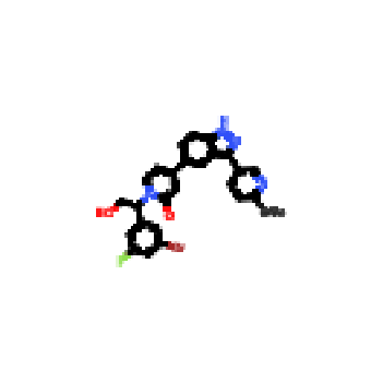 COc1ccc(-c2n[nH]c3ccc(-c4ccn(C(CO)c5cc(F)cc(Br)c5)c(=O)c4)cc23)cn1